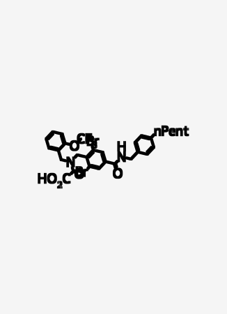 CCCCCc1ccc(CNC(=O)c2cc(Br)c(CN(Cc3ccccc3OC(F)(F)F)C(=O)C(=O)O)c(Br)c2)cc1